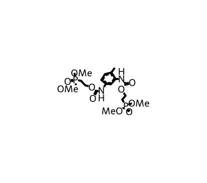 COP(=O)(CCOC(=O)Nc1ccc(C)c(NC(=O)OCCP(=O)(OC)OC)c1)OC